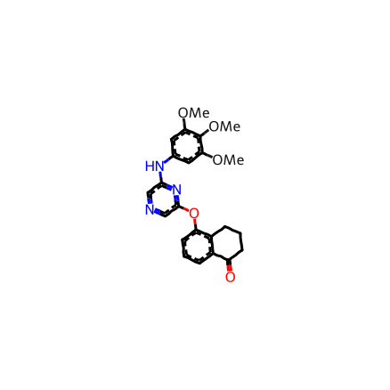 COc1cc(Nc2cncc(Oc3cccc4c3CCCC4=O)n2)cc(OC)c1OC